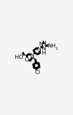 CC(O)[C@H]1CN(C2CCN(c3nnc(N)[nH]3)CC2)[C@@H](Cc2ccc(Cl)cc2)CO1